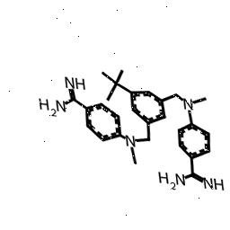 CN(Cc1cc(CN(C)c2ccc(C(=N)N)cc2)cc(C(C)(C)C)c1)c1ccc(C(=N)N)cc1